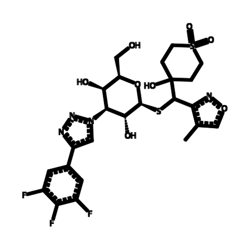 Cc1conc1C(S[C@@H]1O[C@H](CO)[C@H](O)[C@H](n2cc(-c3cc(F)c(F)c(F)c3)nn2)[C@H]1O)C1(O)CCS(=O)(=O)CC1